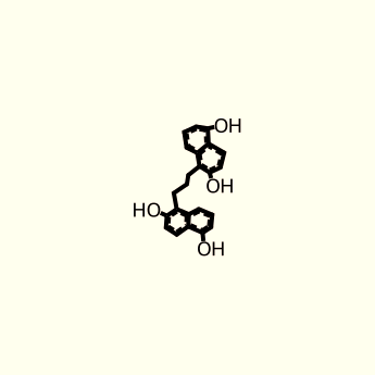 Oc1ccc2c(O)cccc2c1CCCc1c(O)ccc2c(O)cccc12